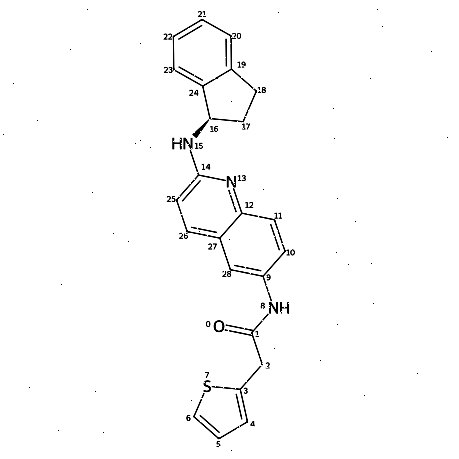 O=C(Cc1cccs1)Nc1ccc2nc(N[C@@H]3CCc4ccccc43)ccc2c1